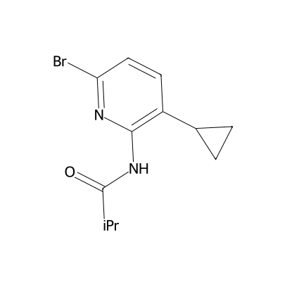 CC(C)C(=O)Nc1nc(Br)ccc1C1CC1